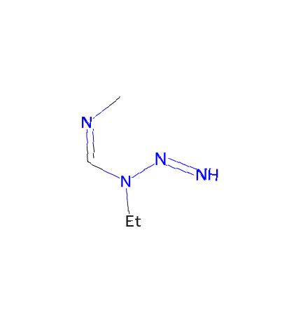 CCN(/C=N\C)N=N